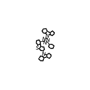 c1ccc(-c2nc(-c3cccc4sc5cc(-n6c7ccccc7c7ccccc76)ccc5c34)nc(-n3c4ccccc4c4ccccc43)n2)cc1